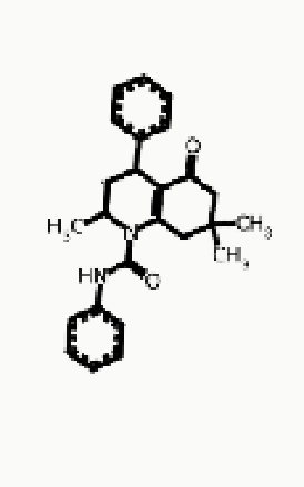 CC1[CH]C(c2ccccc2)C2=C(CC(C)(C)CC2=O)N1C(=O)Nc1ccccc1